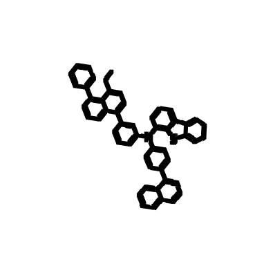 CCc1ccc(-c2cccc(N(c3ccc(-c4cccc5ccccc45)cc3)c3cccc4c3sc3ccccc34)c2)c2cccc(-c3ccccc3)c12